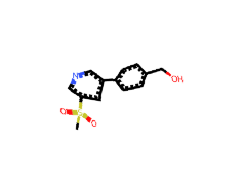 CS(=O)(=O)c1cncc(-c2ccc(CO)cc2)c1